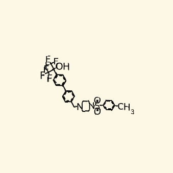 Cc1ccc(S(=O)(=O)N2CCN(Cc3ccc(-c4ccc(C(O)(C(F)(F)F)C(F)(F)F)cc4)cc3)CC2)cc1